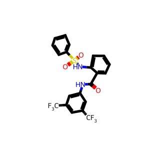 O=C(Nc1cc(C(F)(F)F)cc(C(F)(F)F)c1)c1ccccc1NS(=O)(=O)c1ccccc1